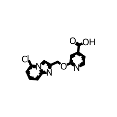 O=C(O)c1ccnc(OCc2cn3c(Cl)cccc3n2)c1